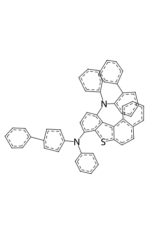 c1ccc(-c2ccc(N(c3ccccc3)c3ccc(N(c4ccccc4)c4ccccc4-c4ccccc4)c4c3sc3ccc5ccccc5c34)cc2)cc1